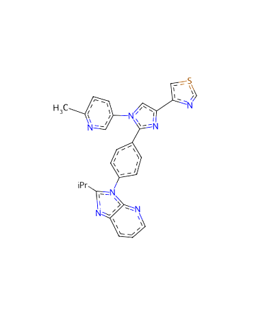 Cc1ccc(-n2cc(-c3cscn3)nc2-c2ccc(-n3c(C(C)C)nc4cccnc43)cc2)cn1